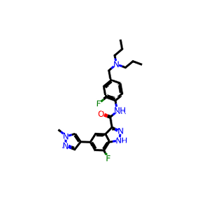 CCCN(CCC)Cc1ccc(NC(=O)c2n[nH]c3c(F)cc(-c4cnn(C)c4)cc23)c(F)c1